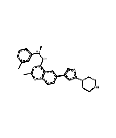 Cc1cccc([C@@H](C)Nc2nc(C)nc3ccc(-c4cnn(C5CCNCC5)c4)cc23)c1